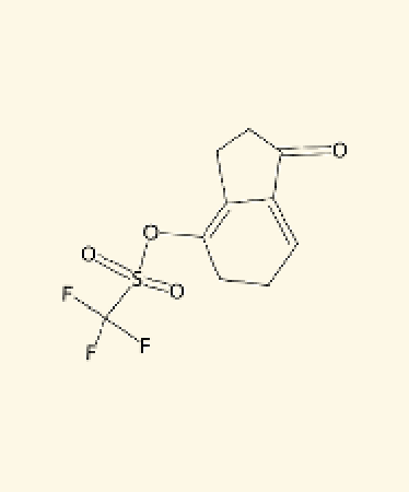 O=C1CCC2=C(OS(=O)(=O)C(F)(F)F)CCC=C12